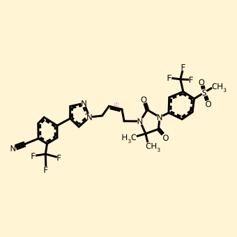 CC1(C)C(=O)N(c2ccc(S(C)(=O)=O)c(C(F)(F)F)c2)C(=O)N1C/C=C\Cn1cc(-c2ccc(C#N)c(C(F)(F)F)c2)cn1